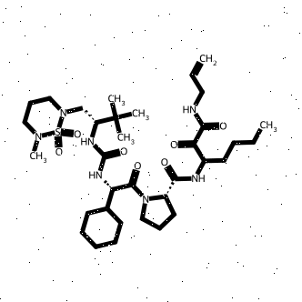 C=CCNC(=O)C(=O)C(CCCC)NC(=O)[C@@H]1CCCN1C(=O)[C@@H](NC(=O)N[C@H](CN1CCCN(C)S1(=O)=O)C(C)(C)C)C1CCCCC1